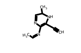 C#CC1=C(/N=C\C)N=CC(C)N1